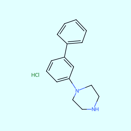 Cl.c1ccc(-c2cccc(N3CCNCC3)c2)cc1